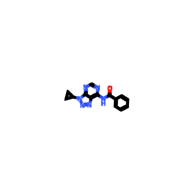 O=C(Nc1ncnc2c1nnn2C1CC1)c1ccccc1